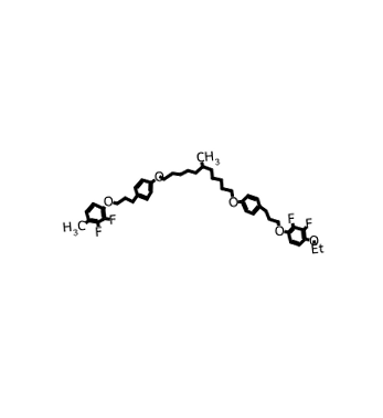 CCOc1ccc(OCCCc2ccc(OCCCCCC(C)CCCCCOc3ccc(CCCOc4ccc(C)c(F)c4F)cc3)cc2)c(F)c1F